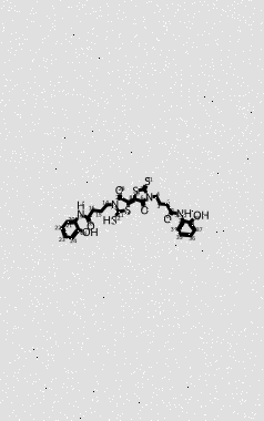 O=C(CCCN1C(=O)/C(=C2\SC(S)N(CCCC(=O)Nc3ccccc3O)C2=O)SC1=S)Nc1ccccc1O